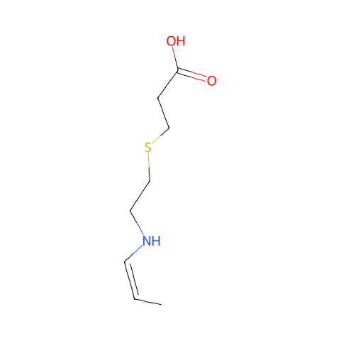 C/C=C\NCCSCCC(=O)O